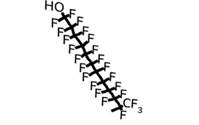 CC(F)(C(F)(F)F)C(F)(F)C(F)(F)C(F)(F)C(F)(F)C(F)(F)C(F)(F)C(F)(F)C(F)(F)C(F)(F)C(O)(F)F